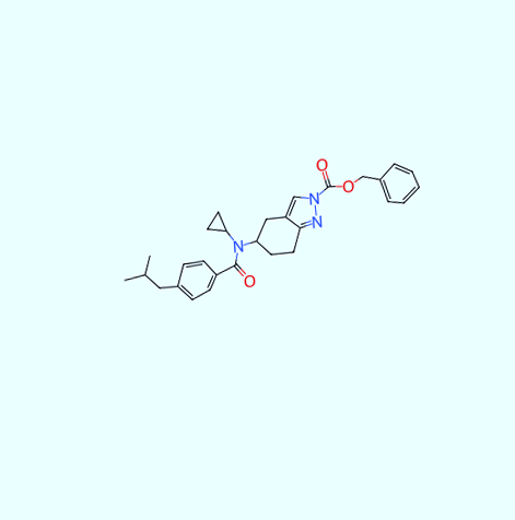 CC(C)Cc1ccc(C(=O)N(C2CC2)C2CCc3nn(C(=O)OCc4ccccc4)cc3C2)cc1